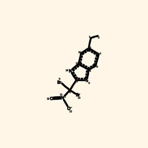 CCc1ccc2sc(C(Br)(Br)[N+](=O)[O-])nc2c1